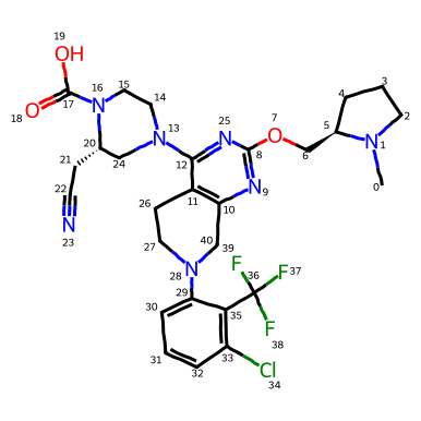 CN1CCC[C@@H]1COc1nc2c(c(N3CCN(C(=O)O)[C@@H](CC#N)C3)n1)CCN(c1cccc(Cl)c1C(F)(F)F)C2